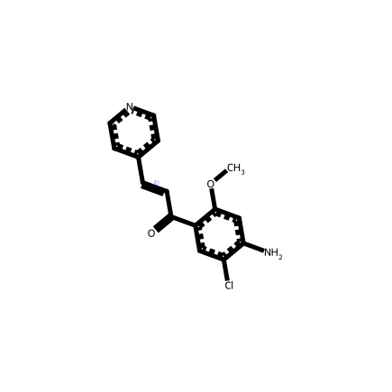 COc1cc(N)c(Cl)cc1C(=O)/C=C/c1ccncc1